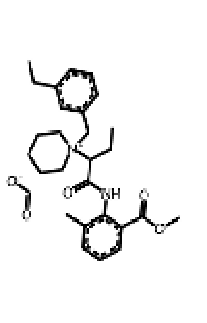 CCc1cccc(C[N+]2(C(CC)C(=O)Nc3c(C)cccc3C(=O)OC)CCCCC2)c1.O=C[O-]